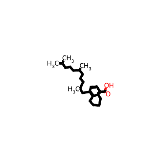 CC(C)CCCC(C)CCCC(C)Cc1ccc(C(=O)O)c2c1CCCC2